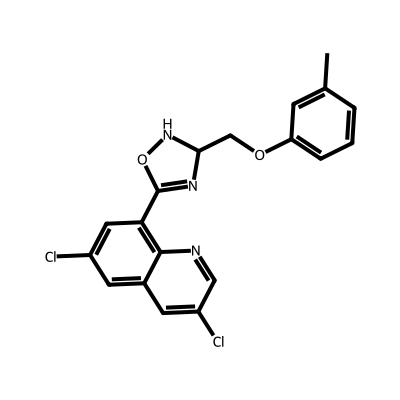 Cc1cccc(OCC2N=C(c3cc(Cl)cc4cc(Cl)cnc34)ON2)c1